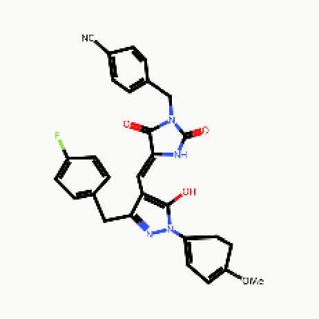 COC1=CC=C(n2nc(Cc3ccc(F)cc3)c(/C=C3\NC(=O)N(Cc4ccc(C#N)cc4)C3=O)c2O)CC1